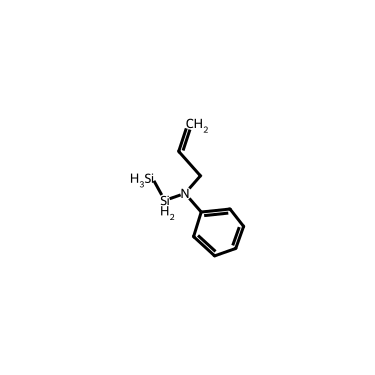 C=CCN([SiH2][SiH3])c1ccccc1